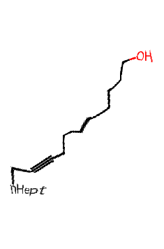 CCCCCCCCC#CCCCCCCCCO